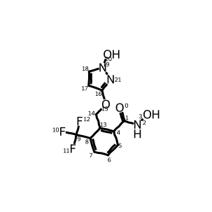 O=C(NO)c1cccc(C(F)(F)F)c1COc1ccn(O)n1